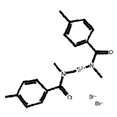 Cc1ccc(C(=O)[N](C)[Ti+2][N](C)C(=O)c2ccc(C)cc2)cc1.[Br-].[Br-]